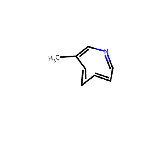 CC1=C/N=C\C=C\C=C\1